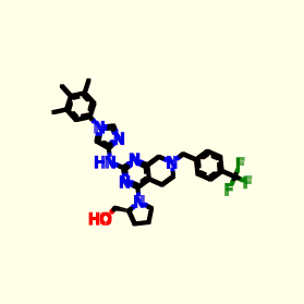 Cc1cc(-n2cnc(Nc3nc4c(c(N5CCC[C@H]5CO)n3)CCN(Cc3ccc(C(F)(F)F)cc3)C4)c2)cc(C)c1C